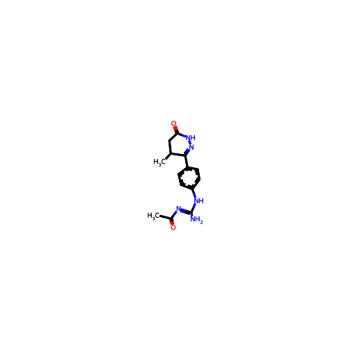 CC(=O)N=C(N)Nc1ccc(C2=NNC(=O)CC2C)cc1